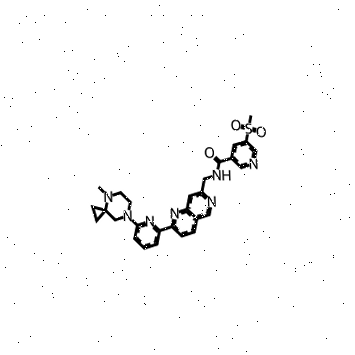 CN1CCN(c2cccc(-c3ccc4cnc(CNC(=O)c5cncc(S(C)(=O)=O)c5)cc4n3)n2)CC12CC2